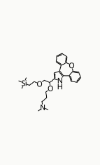 CN(C)CCCOC(COCC[Si](C)(C)C)c1cc2c([nH]1)-c1ccccc1Oc1ccccc1-2